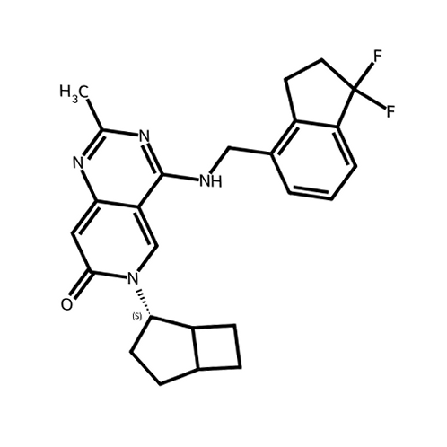 Cc1nc(NCc2cccc3c2CCC3(F)F)c2cn([C@H]3CCC4CCC43)c(=O)cc2n1